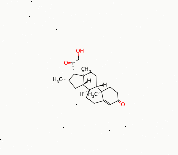 C[C@H]1C[C@H]2[C@@H]3CCC4=CC(=O)CC[C@]4(C)[C@H]3CC[C@]2(C)[C@H]1C(=O)CO